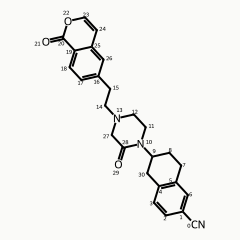 N#Cc1ccc2c(c1)CCC(N1CCN(CCc3ccc4c(=O)occc4c3)CC1=O)C2